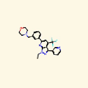 CCn1nc(-c2cccnc2)c2c(C(F)(F)F)cc(-c3cccc(CN4CCOCC4)c3)nc21